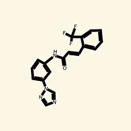 O=C(/C=C/c1ccccc1C(F)(F)F)Nc1cccc(-n2cncn2)c1